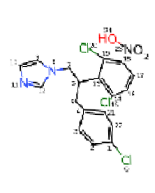 Clc1ccc(CC(Cn2ccnc2)c2c(Cl)cccc2Cl)cc1.O=[N+]([O-])O